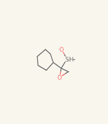 C[SiH]([O])C1(C2CCCCC2)CO1